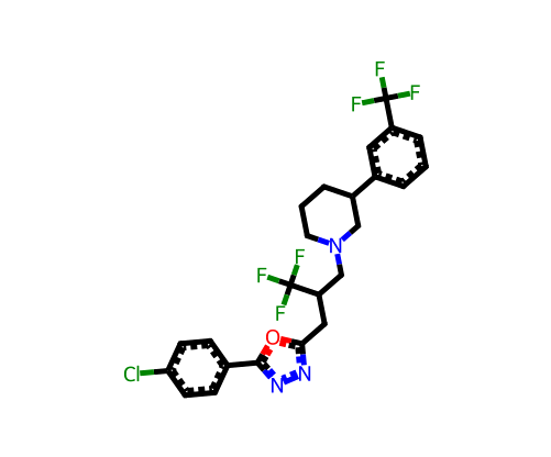 FC(F)(F)c1cccc(C2CCCN(CC(Cc3nnc(-c4ccc(Cl)cc4)o3)C(F)(F)F)C2)c1